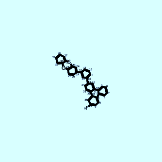 Fc1ccc2c3ccccc3c3cc(-c4cccc(-c5ccc6c(c5)Sc5ccccc5O6)c4)ccc3c2c1